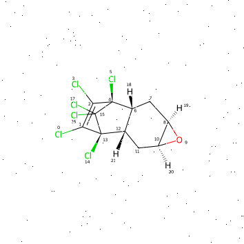 ClC1=C(Cl)[C@]2(Cl)[C@@H]3C[C@H]4O[C@H]4C[C@@H]3[C@@]1(Cl)C2(Cl)Cl